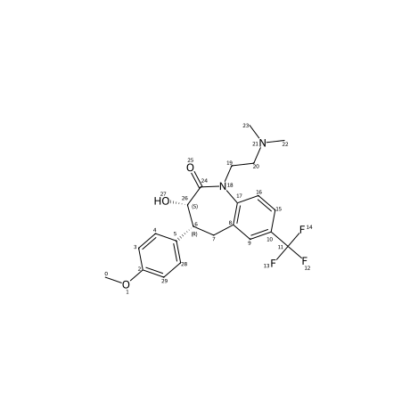 COc1ccc([C@H]2Cc3cc(C(F)(F)F)ccc3N(CCN(C)C)C(=O)[C@H]2O)cc1